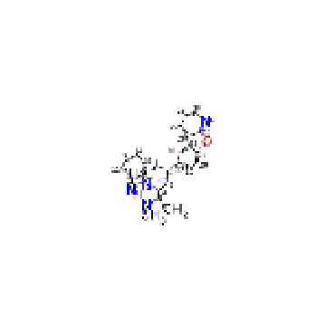 C=C/C(=C\c1c(C)n(C)c2nc3ccccc3n12)c1ccc2oc3ncccc3c2c1